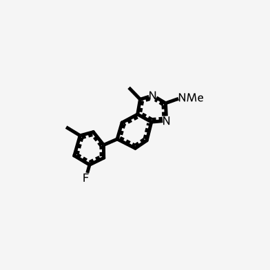 CNc1nc(C)c2cc(-c3cc(C)cc(F)c3)ccc2n1